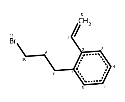 C=Cc1ccccc1CCCBr